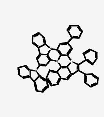 c1ccc(-c2cc3c4c(c2)-n2c5ccccc5c5cc(-n6c7ccccc7c7ccccc76)cc(c52)B4c2c4ccccc4cc4c(-c5ccccc5)c(-c5ccccc5)n-3c24)cc1